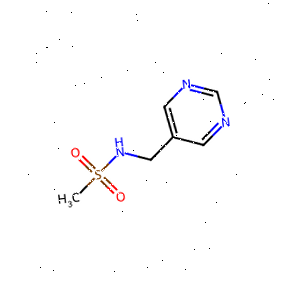 CS(=O)(=O)NCc1cncnc1